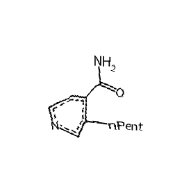 CCCCCc1cnccc1C(N)=O